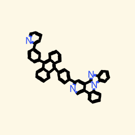 c1ccc(-c2cccc(-c3c4ccccc4c(-c4ccc(-c5cc6c(cn5)c5ccccc5n5c7ccccc7nc65)cc4)c4ccccc34)c2)nc1